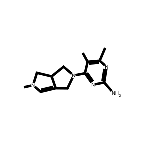 Cc1nc(N)nc(N2CC3=CN(C)CC3C2)c1C